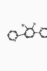 Brc1c(-c2ccccn2)ccc(-c2ccccn2)c1Br